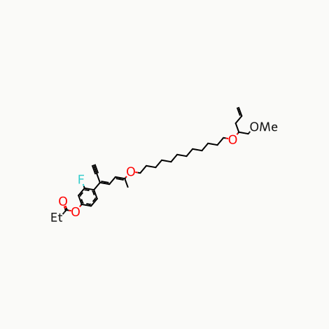 C#C/C(=C\C=C(/C)OCCCCCCCCCCCCOC(CC=C)COC)c1ccc(OC(=O)CC)cc1F